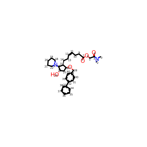 CN(C)C(=O)COC(=O)CC/C=C\CC[C@@H]1[C@H](N2CCCCC2)[C@@H](O)C[C@@H]1OCc1ccc(-c2ccccc2)cc1